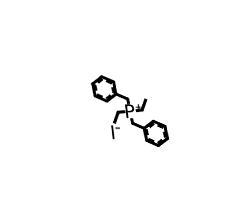 CC[P+](CC)(Cc1ccccc1)Cc1ccccc1.[I-]